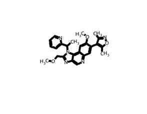 COCc1nc2cnc3cc(-c4c(C)noc4C)c(OC)cc3c2n1C(C)c1ccccn1